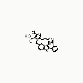 CCCCc1nc(Cl)c(C(=O)O)n1Cc1ccc2sc(-c3ccccc3C#N)c(Br)c2c1